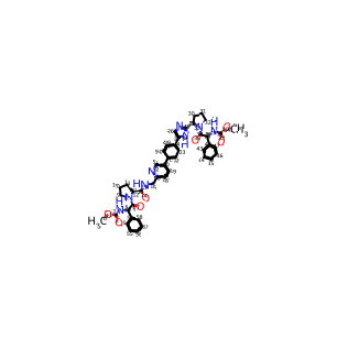 COC(=O)N[C@@H](C(=O)N1CCC[C@H]1C(=O)NCc1ccc(-c2ccc(-c3cnc([C@@H]4CCCN4C(=O)[C@H](NC(=O)OC)c4ccccc4)[nH]3)cc2)cn1)c1ccccc1